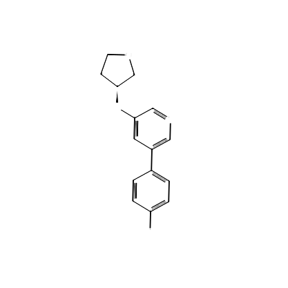 Cl.Clc1ccc(-c2cncc(O[C@H]3CCNC3)c2)cc1